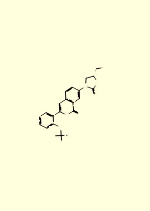 O=C1O[C@H](CO)CN1c1ccc2cc(-c3ccccc3OC(F)(F)F)[nH]c(=O)c2c1